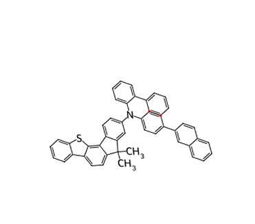 CC1(C)c2cc(N(c3ccc(-c4ccc5ccccc5c4)cc3)c3ccccc3-c3ccccc3)ccc2-c2c1ccc1c2sc2ccccc21